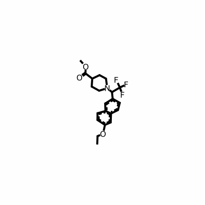 CCOc1ccc2cc(C(N3CCC(C(=O)OC)CC3)C(F)(F)F)ccc2c1